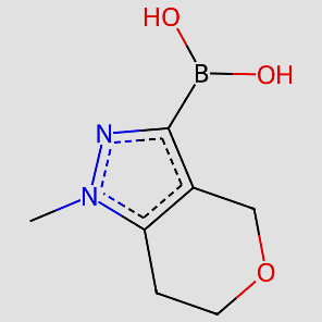 Cn1nc(B(O)O)c2c1CCOC2